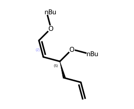 C=CC[C@@H](/C=C\OCCCC)OCCCC